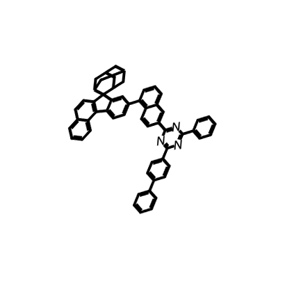 c1ccc(-c2ccc(-c3nc(-c4ccccc4)nc(-c4ccc5c(-c6ccc7c(c6)C6(c8ccc9ccccc9c8-7)C7CC8CC(C7)CC6C8)cccc5c4)n3)cc2)cc1